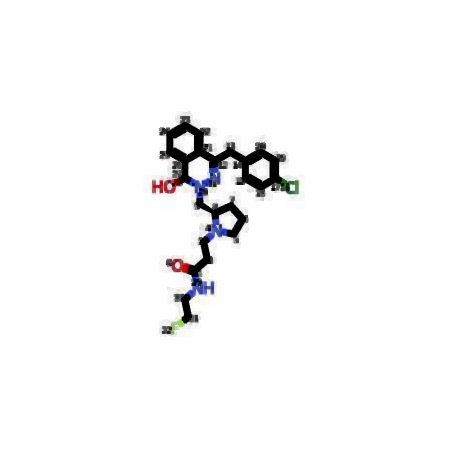 O=C(CCN1CCC[C@@H]1CN1N=C(Cc2ccc(Cl)cc2)c2ccccc2C1O)NCCF